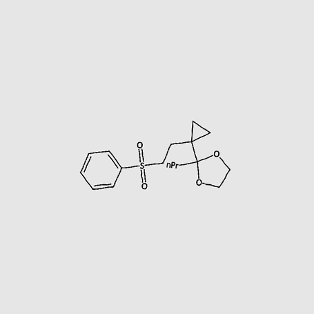 CCCC1(C2(CCS(=O)(=O)c3ccccc3)CC2)OCCO1